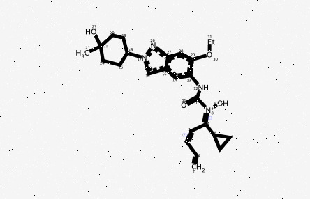 C=C/C=C\C(C1CC1)=[N+](\O)C(=O)Nc1cc2cn(C3CCC(C)(O)CC3)nc2cc1OCC